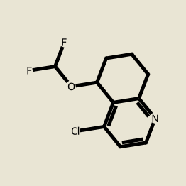 FC(F)OC1CCCc2nccc(Cl)c21